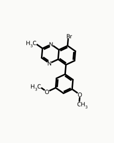 COc1cc(OC)cc(-c2ccc(Br)c3nc(C)cnc23)c1